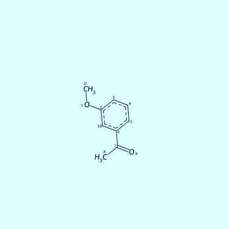 COc1cc[c]c(C(C)=O)c1